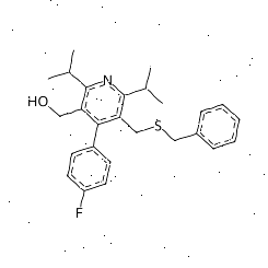 CC(C)c1nc(C(C)C)c(CSCc2ccccc2)c(-c2ccc(F)cc2)c1CO